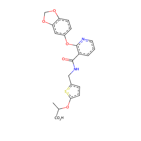 CC(Oc1ccc(CNC(=O)c2cccnc2Oc2ccc3c(c2)OCO3)s1)C(=O)O